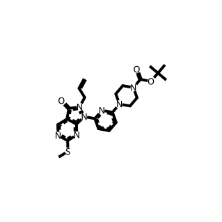 C=CCn1c(=O)c2cnc(SC)nc2n1-c1cccc(N2CCN(C(=O)OC(C)(C)C)CC2)n1